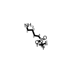 NCCCCS(=O)(=O)C(F)(F)F